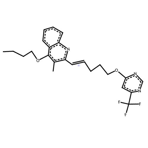 CCCCOc1c(C)c(/C=C/CCCOc2cc(C(F)(F)F)ncn2)nc2ccccc12